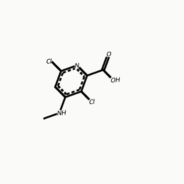 CNc1cc(Cl)nc(C(=O)O)c1Cl